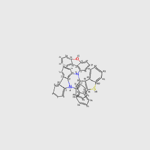 c1ccc(-n2c3ccccc3c3cccc(N(c4cccc5oc6ccccc6c45)c4cc5ccccc5c5sc6ccccc6c45)c32)cc1